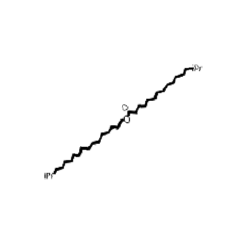 CC(C)CCCCCCCCCCCCCCCOC(=O)CCCCCCCCCCCCC(C)C